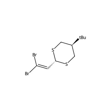 CC(C)(C)[C@H]1CS[C@H](C=C(Br)Br)SC1